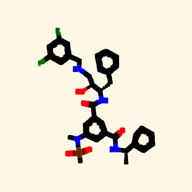 C[C@@H](NC(=O)c1cc(C(=O)N[C@@H](Cc2ccccc2)[C@H](O)CNCc2cc(F)cc(F)c2)cc(N(C)S(C)(=O)=O)c1)c1ccccc1